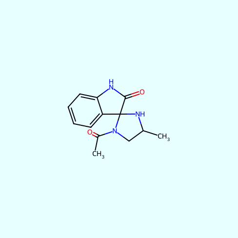 CC(=O)N1CC(C)NC12C(=O)Nc1ccccc12